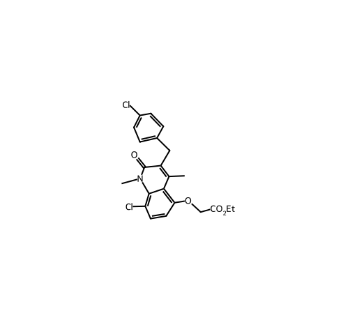 CCOC(=O)COc1ccc(Cl)c2c1c(C)c(Cc1ccc(Cl)cc1)c(=O)n2C